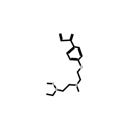 C=CC(=C)c1ccc(OCCN(C)CCN(CC)SC)cc1